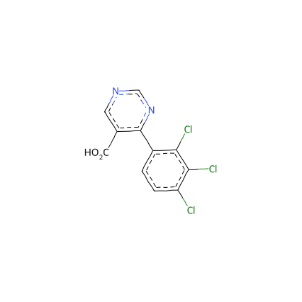 O=C(O)c1cncnc1-c1ccc(Cl)c(Cl)c1Cl